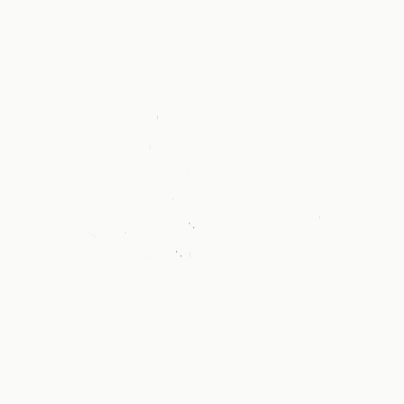 CCCCOC(=O)NN(C(=O)OCCCC)c1cc2c(cc1C#CC(=O)OCC)OCO2